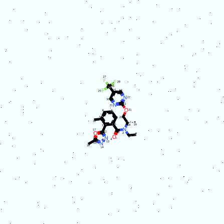 CCN(C(=O)c1cccc(C)c1-c1nnc(C)o1)[C@@H](C)COc1ncc(C(F)(F)F)cn1